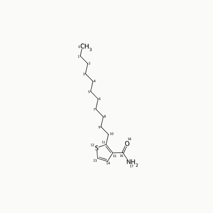 CCCCCCCCCCCc1sccc1C(N)=O